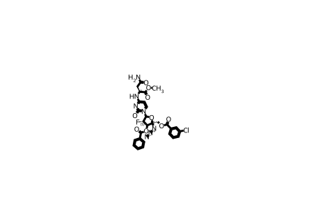 COC(=O)[C@H](CC(N)=O)Nc1ccn(C2O[C@@](COC(=O)c3cccc(Cl)c3)(N=[N+]=[N-])C(OC(=O)c3ccccc3)[C@@H]2F)c(=O)n1